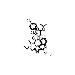 CCOCc1nc2c(N)nc3ccccc3c2n1[C@H](CC)COP(=O)(N[C@@H](C)C(=O)OC(C)C)Oc1ccc(Cl)cc1